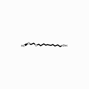 C#COCCOCCCCCCCCCCCCCCCCCCCC